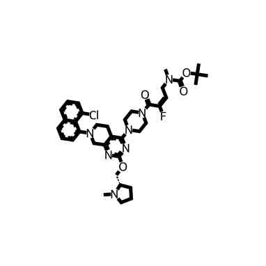 CN(C/C=C(/F)C(=O)N1CCN(c2nc(OC[C@@H]3CCCN3C)nc3c2CCN(c2cccc4cccc(Cl)c24)C3)CC1)C(=O)OC(C)(C)C